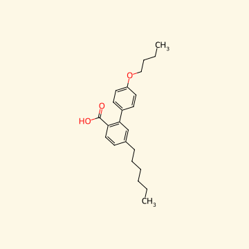 CCCCCCc1ccc(C(=O)O)c(-c2ccc(OCCCC)cc2)c1